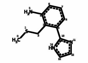 CSCc1c(N)cccc1-c1ncc[nH]1